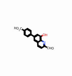 O=Cc1ccc2cc(-c3ccc(C(=O)O)cc3)cc(O)c2n1